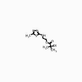 CCC(C)(C)C(=O)OCCNc1nnc(C)s1